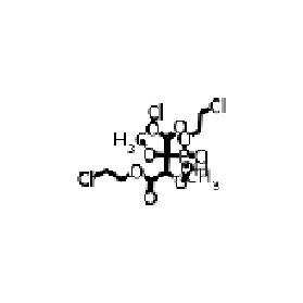 COC(C(=O)OCCCl)C(OC)(C(=O)OCl)P(=O)(O)OCCCl